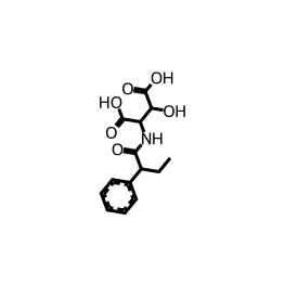 CCC(C(=O)NC(C(=O)O)C(O)C(=O)O)c1ccccc1